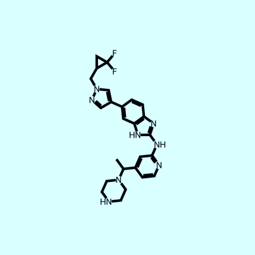 CC(c1ccnc(Nc2nc3ccc(-c4cnn(CC5CC5(F)F)c4)cc3[nH]2)c1)N1CCNCC1